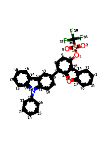 O=S(=O)(Oc1ccc(-c2ccc3c(c2)c2ccccc2n3-c2ccccc2)c2oc3ccccc3c12)C(F)(F)F